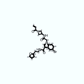 C=CC(=O)N1CC(NC(=O)Cn2cc(C(=O)NCCc3ccco3)c3cc(Br)ccc32)C1